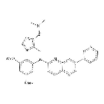 COc1cc(OC)cc(N(Cc2nccn2SN(C)C)c2ccc3ncc(-c4cccnc4)cc3n2)c1